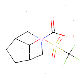 O=C(O)N1CC2CCC(C1)C2OS(=O)(=O)C(F)(F)F